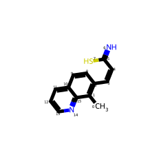 Cc1c(/C=C\C(=N)S)ccc2cccnc12